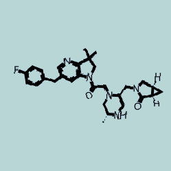 C[C@@H]1CN(CC(=O)N2CC(C)(C)c3ncc(Cc4ccc(F)cc4)cc32)[C@@H](CN2C[C@H]3C[C@H]3C2=O)CN1